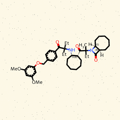 CCC(CC)(N[C@H]1CCCCCC[C@H]1C(=O)C(C)(CC)N1C(=O)[C@@H]2CCCCCC[C@@H]21)C(=O)c1ccc(COc2cc(OC)cc(OC)c2)cc1